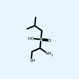 CC(C)CP(=O)(O)C(N)CS